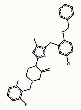 Cc1cc(N2CCN(Cc3c(F)cccc3F)CC2=O)nn1Cc1cc(Cl)ccc1OCc1ccccc1